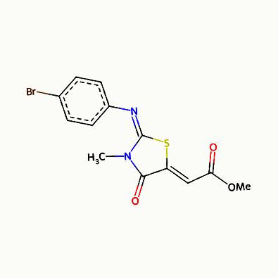 COC(=O)/C=C1\S/C(=N/c2ccc(Br)cc2)N(C)C1=O